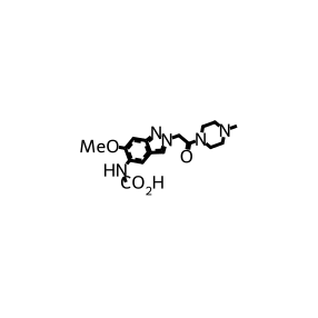 COc1cc2nn(CC(=O)N3CCN(C)CC3)cc2cc1NC(=O)O